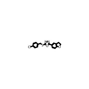 Clc1ccc(CSc2nnc(-c3ccc4c(c3)CCO4)o2)cc1